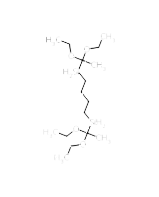 CCOC(C)(OCC)[SiH2]CCCC[SiH2]C(C)(OCC)OCC